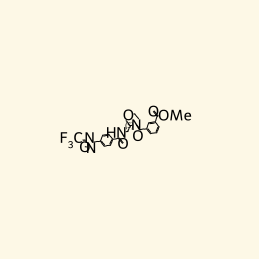 COC(=O)c1cccc(C(=O)N2CCOC[C@@H]2CNC(=O)c2ccc(-c3noc(C(F)(F)F)n3)cc2)c1